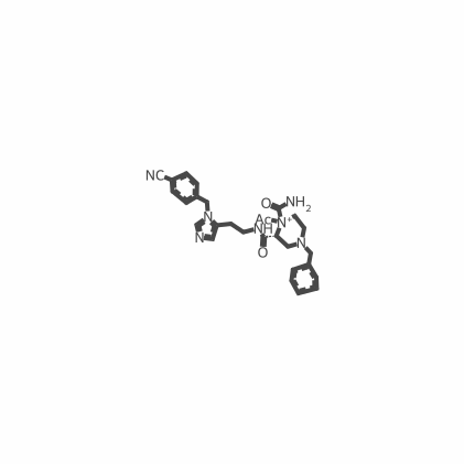 CC(=O)[N+]1(C(N)=O)CCN(Cc2ccccc2)C[C@@H]1C(=O)NCCc1cncn1Cc1ccc(C#N)cc1